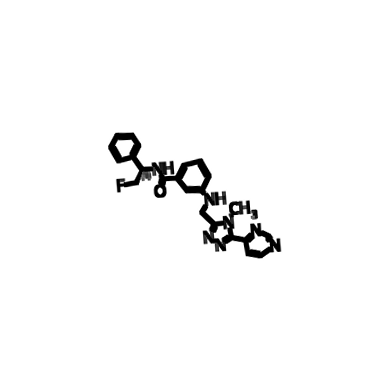 Cn1c(CNc2cccc(C(=O)N[C@@H](CF)c3ccccc3)c2)nnc1-c1ccncn1